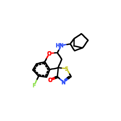 O=C1N=CSC12CC(NC1CC3CCC1C3)Oc1ccc(F)cc12